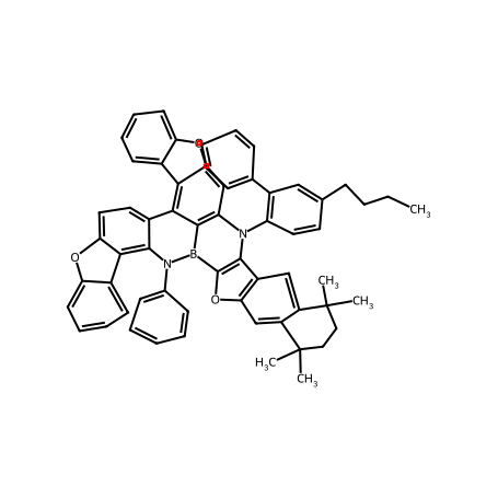 CCCCc1ccc(N2c3cc4oc5ccccc5c4c4c3B(c3oc5cc6c(cc5c32)C(C)(C)CCC6(C)C)N(c2ccccc2)c2c-4ccc3oc4ccccc4c23)c(-c2ccccc2)c1